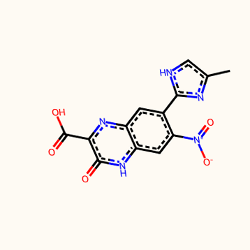 Cc1c[nH]c(-c2cc3nc(C(=O)O)c(=O)[nH]c3cc2[N+](=O)[O-])n1